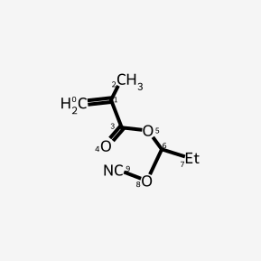 C=C(C)C(=O)OC(CC)OC#N